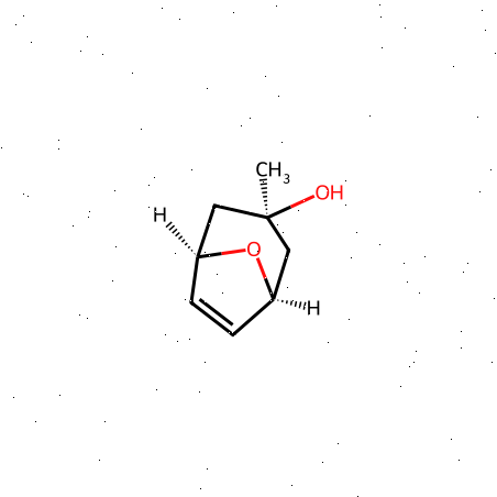 C[C@]1(O)C[C@H]2C=C[C@@H](C1)O2